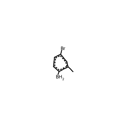 Bc1ccc(Br)cc1C